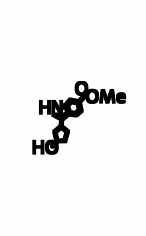 COC(=O)c1ccc2c(C3CCC(O)C3)c[nH]c2c1